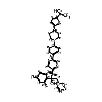 OC(c1ccc(N2CCN(c3ccc(-c4ccc(C(F)(F)[C@](O)(Cn5cnnn5)c5ccc(F)cc5F)nc4)cc3)CC2)s1)C(F)(F)F